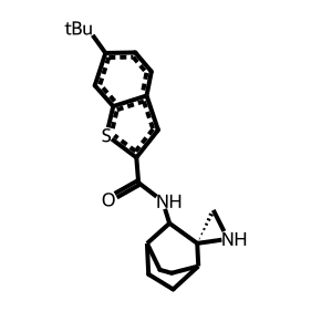 CC(C)(C)c1ccc2cc(C(=O)NC3C4CCC(CC4)[C@@]34CN4)sc2c1